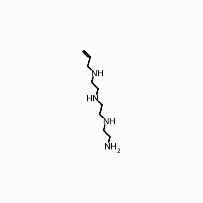 C=CCNCCNCCNCCN